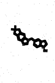 CC1(C)Cc2cc3ncn(Cc4ccc5c(c4)CC[C@@H]5O)c3cc2C1